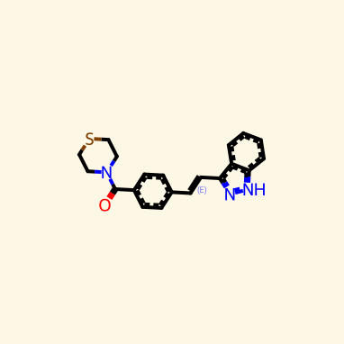 O=C(c1ccc(/C=C/c2n[nH]c3ccccc23)cc1)N1CCSCC1